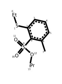 CCSc1cccc(C)c1S(=O)(=O)OC(C)C